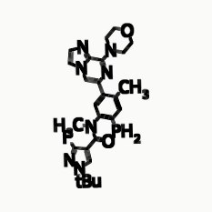 Cc1cc(P)c(N(C)C(=O)c2cn(C(C)(C)C)nc2F)cc1-c1cn2ccnc2c(N2CCOCC2)n1